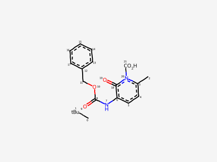 CC(C)(C)C.Cc1ccc(NC(=O)OCc2ccccc2)c(=O)n1C(=O)O